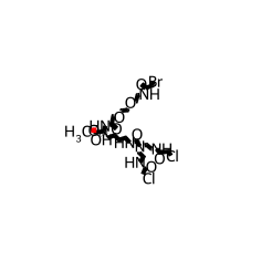 COC(O)[C@H](CCCCNC(=O)N(CCNC(=O)CCl)CCNC(=O)CCl)NC(=O)COCCOCCNC(=O)CBr